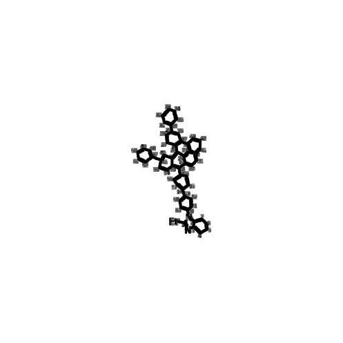 CCc1nc2ccccc2n1-c1ccc(-c2ccc(-c3c4ccccc4c(-c4ccc(-c5ccccc5)cc4-c4ccccc4)c4cc(-c5ccccc5)ccc34)cc2)cc1